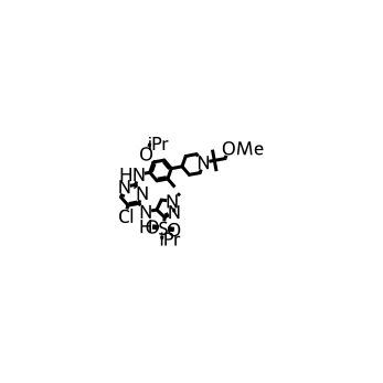 COCC(C)(C)N1CCC(c2cc(OC(C)C)c(Nc3ncc(Cl)c(NC4CN(C)N=C4S(=O)(=O)C(C)C)n3)cc2C)CC1